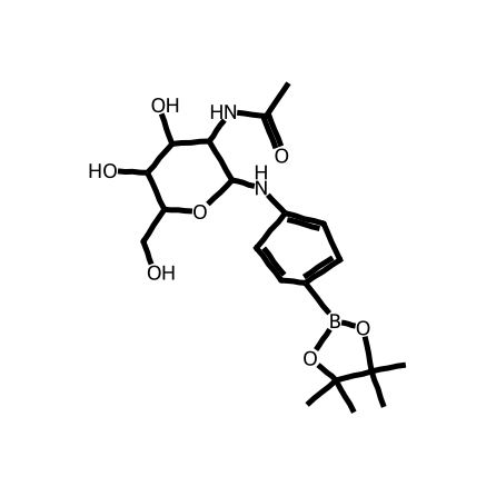 CC(=O)NC1C(Nc2ccc(B3OC(C)(C)C(C)(C)O3)cc2)OC(CO)C(O)C1O